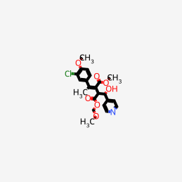 COCOC(=O)C(/C(C(=O)OC)=C(\C)c1ccc(OC)c(Cl)c1)C(O)c1ccncc1